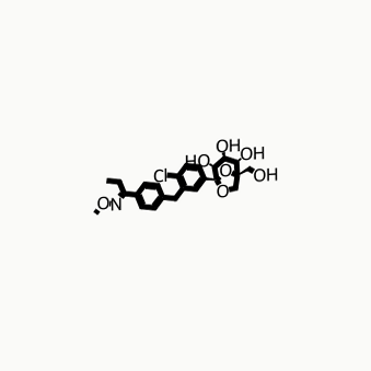 CCC(=NOC)c1ccc(Cc2cc([C@]34OC[C@](CO)(O3)[C@@H](O)[C@H](O)[C@H]4O)ccc2Cl)cc1